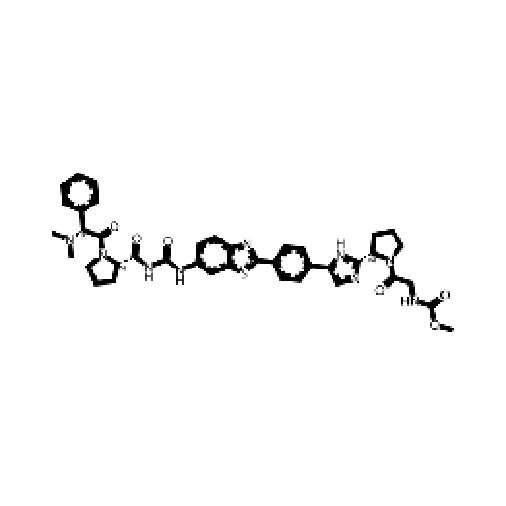 COC(=O)NCC(=O)N1CCC[C@H]1c1ncc(-c2ccc(-c3nc4ccc(NC(=O)NC(=O)[C@@H]5CCCN5C(=O)[C@@H](c5ccccc5)N(C)C)cc4s3)cc2)[nH]1